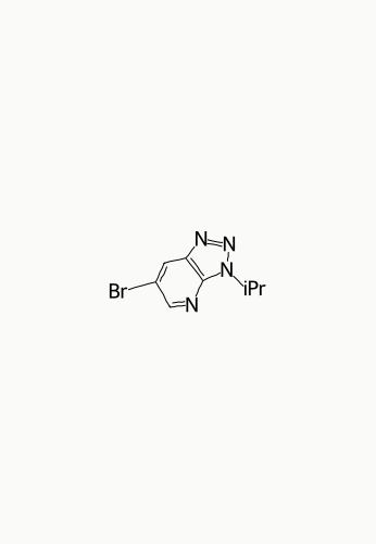 CC(C)n1nnc2cc(Br)cnc21